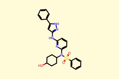 O=S(=O)(c1ccccc1)N(c1cccc(Nc2cc(-c3ccccc3)[nH]n2)n1)C1CCC(O)CC1